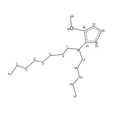 CCCCCCCCC(CCCCC)c1sccc1OC